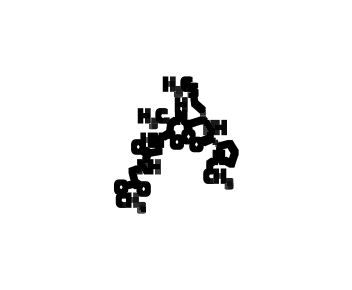 CCN1CCC[C@H]1C(=O)N[C@@H](CCSC)C(=O)N[C@@H](C)C(=O)NCC(=O)NCC(=O)OC